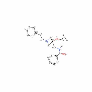 O=C(c1ccccc1)N1CC2(CC2)OC2(CN(CCc3ccccc3)C2)C1